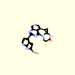 CC(C)(C)c1cc2c(-c3nc(N4CCNC(=O)CC4)c4c(C5CC5)cncc4n3)ccnc2[nH]1